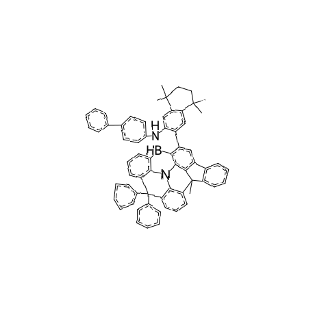 CC1(C)CCC(C)(C)c2cc(-c3cc4c5c6c3Bc3cccc7c3N6c3c(cccc3C7(c3ccccc3)c3ccccc3)C5(C)c3ccccc3-4)c(Nc3ccc(-c4ccccc4)cc3)cc21